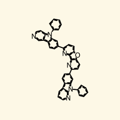 c1ccc(-n2c3ccncc3c3ccc(-c4ccc5oc6ccc(-c7ccc8c9cccnc9n(-c9ccccc9)c8c7)nc6c5n4)cc32)cc1